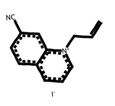 C=CC[n+]1cccc2ccc(C#N)cc21.[I-]